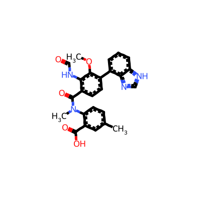 COc1c(-c2cccc3[nH]cnc23)ccc(C(=O)N(C)c2ccc(C)cc2C(=O)O)c1NC=O